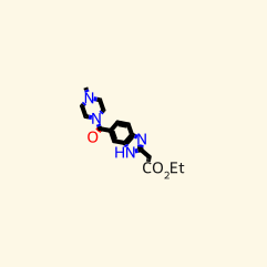 CCOC(=O)Cc1nc2ccc(C(=O)N3CCN(C)CC3)cc2[nH]1